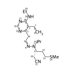 C=Cc1c(C/C=N\N(C(C)C)[C@@H](CC#N)CCSC)ncnc1NCC